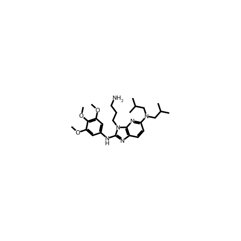 COc1cc(Nc2nc3ccc(N(CC(C)C)CC(C)C)nc3n2CCCN)cc(OC)c1OC